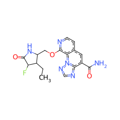 CCC1C(COc2nccc3cc(C(N)=O)c4ncnn4c23)NC(=O)C1F